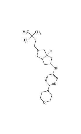 CC(C)(C)CCN1CC2CC(Nc3ccc(N4CCOCC4)nn3)C[C@@H]2C1